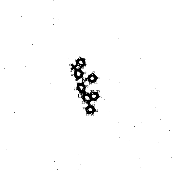 CC1(C)c2ccccc2-c2cc(N(c3ccccc3)c3ccc4oc5cc(-c6ccccc6)c6ccccc6c5c4c3)ccc21